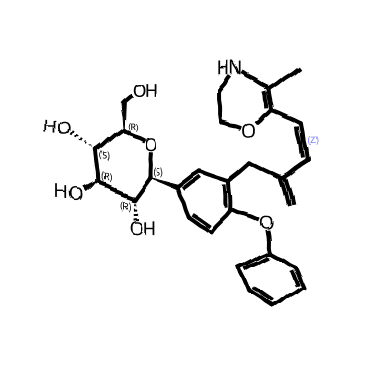 C=C(/C=C\C1=C(C)NCCO1)Cc1cc([C@@H]2O[C@H](CO)[C@@H](O)[C@H](O)[C@H]2O)ccc1Oc1ccccc1